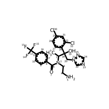 CC(N(CCN)C(=O)c1ccc(C(F)(F)F)cc1)C(O)(Cn1cncn1)c1ccc(Cl)cc1Cl